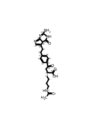 CC(=O)NCCCC[C@H](CC(=O)c1ccc(CCC2=CN=C3N=C(N)NC(=O)C23)cc1)C(=O)O